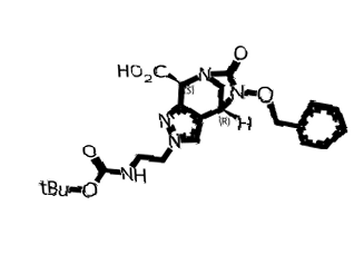 CC(C)(C)OC(=O)NCCn1cc2c(n1)[C@@H](C(=O)O)N1C[C@@H]2N(OCc2ccccc2)C1=O